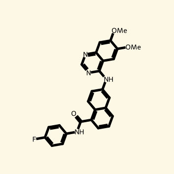 COc1cc2ncnc(Nc3ccc4c(C(=O)Nc5ccc(F)cc5)cccc4c3)c2cc1OC